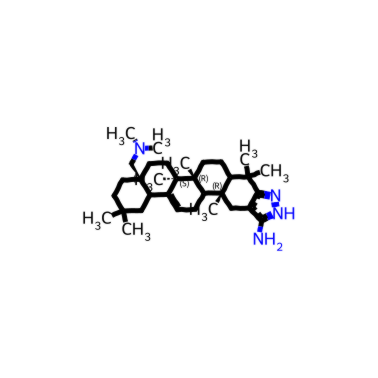 CN(C)C[C@]12CCC(C)(C)CC1C1=CCC3[C@@]4(C)Cc5c(n[nH]c5N)C(C)(C)C4CC[C@@]3(C)[C@]1(C)CC2